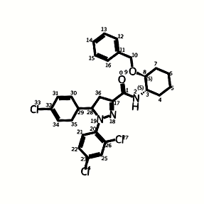 O=C(N[C@H]1CCCC[C@@H]1OCc1ccccc1)C1=NN(c2ccc(Cl)cc2Cl)C(C2C=CC(Cl)=CC2)C1